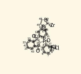 Cl.Cl.O=P(c1ccccc1)(c1ccccc1)C(P(=O)(c1ccccc1)c1ccccc1)P(=O)(c1ccccc1)c1ccccc1.[Zr][C]1=[Bi][CH]=[CH][BiH]1